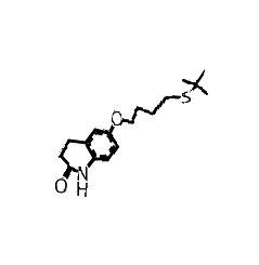 CC(C)(C)SCCCCOc1ccc2c(c1)CCC(=O)N2